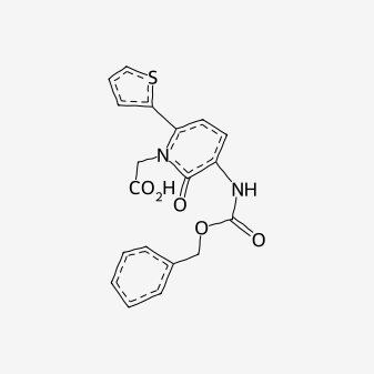 O=C(O)Cn1c(-c2cccs2)ccc(NC(=O)OCc2ccccc2)c1=O